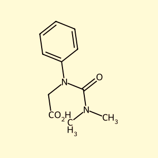 CN(C)C(=O)N(CC(=O)O)c1ccccc1